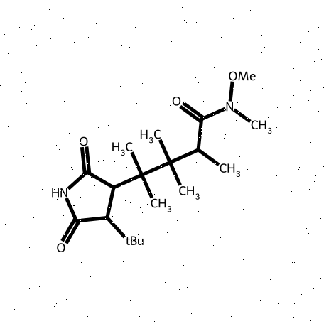 CON(C)C(=O)C(C)C(C)(C)C(C)(C)C1C(=O)NC(=O)C1C(C)(C)C